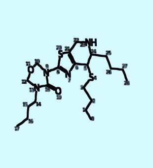 CCCCSC1c2nc(N3COCN(CCCC)C3=O)sc2CNC1CCCC